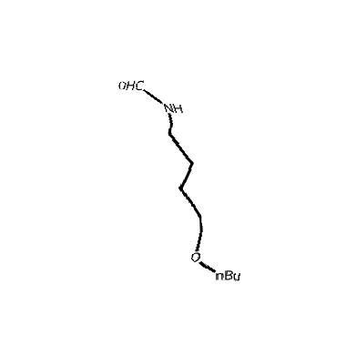 CCCCOCCCCNC=O